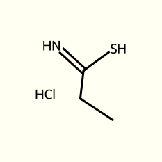 CCC(=N)S.Cl